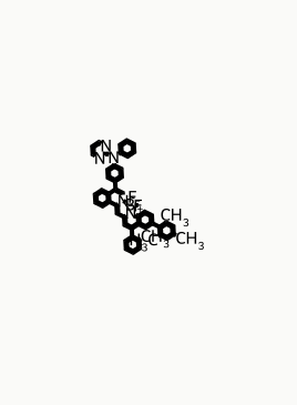 Cc1cc(C)c(-c2ccc3c(c2)c(-c2ccccc2C)cc2[n+]3[B-](F)(F)N3C=C(c4ccc(N(c5ccccc5)c5ncccn5)cc4)c4ccccc4C3=C2)c(C)c1